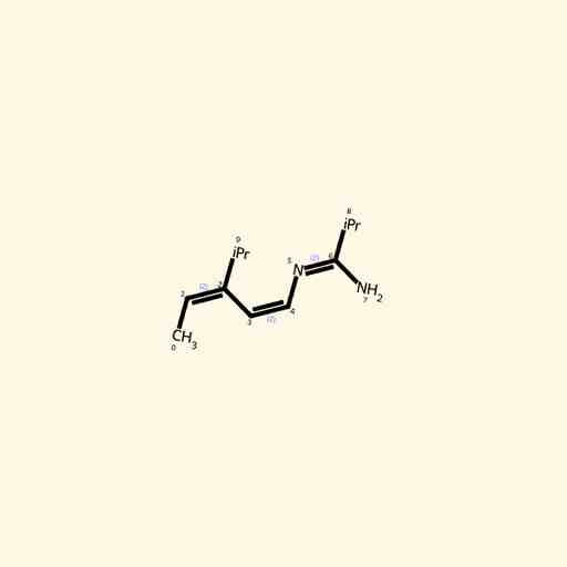 C\C=C(/C=C\N=C(/N)C(C)C)C(C)C